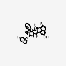 C#Cc1c(F)ccc2cc(O)cc(-c3ncc4c(N5CC6CCC(C5)N6C(=O)C5CC5)nc(OC[C@@]56CCCN5C[C@H](F)C6)nc4c3F)c12